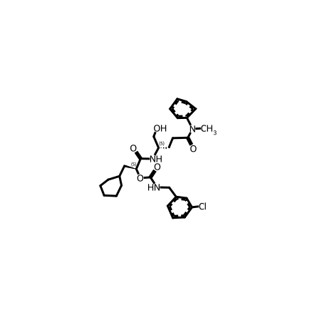 CN(C(=O)CC[C@@H](CO)NC(=O)[C@H](CC1CCCCC1)OC(=O)NCc1cccc(Cl)c1)c1ccccc1